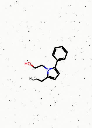 CCc1ccc(-c2ccccc2)n1CCO